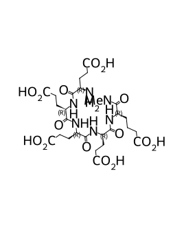 CNC(=O)[C@@H](CCCC(=O)O)NC(=O)[C@@H](CCC(=O)O)NC(=O)[C@@H](CCC(=O)O)NC(=O)[C@@H](CCC(=O)O)NC(=O)[C@H](N)CCC(=O)O